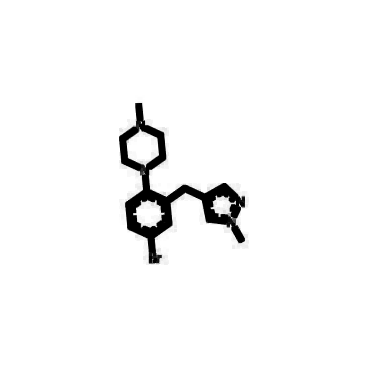 CN1CCN(c2ccc(Br)cc2Cc2cnn(C)c2)CC1